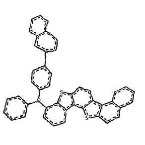 c1ccc(N(c2ccc(-c3ccc4ccccc4c3)cc2)c2cccc3c2sc2ccc4c(sc5ccc6ccccc6c54)c23)cc1